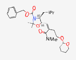 CNC(=O)C(=C[C@@H]1OC(C)(C)N(C(=O)OCc2ccccc2)[C@H]1CC(C)C)CCOC1CCCCO1